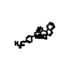 COc1ccc2ccccc2c1-c1cnn2cc(-c3ccc(C)cc3)cnc12